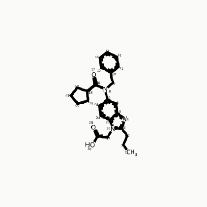 CCCc1nc2cc(N(Cc3ccccc3)C(=O)C3CCCC3)ccc2n1CC(=O)O